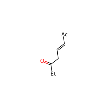 CCC(=O)C/C=C/C(C)=O